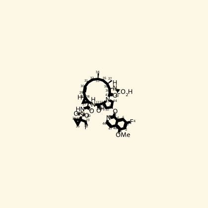 COc1cc(F)cc2c(O[C@@H]3C[C@H]4C(=O)N[C@]5(C(=O)NS(=O)(=O)C6(CF)CC6)C[C@H]5C=CCC[C@@H](C)C[C@@H](C)[C@H](NC(=O)O)C(=O)N4C3)nccc12